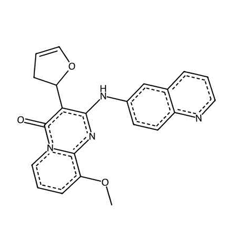 COc1cccn2c(=O)c(C3CC=CO3)c(Nc3ccc4ncccc4c3)nc12